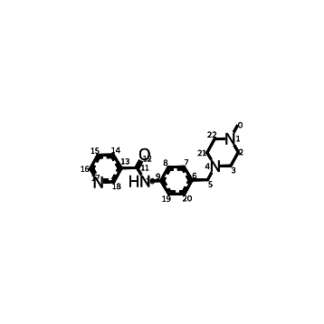 CN1CCN(Cc2ccc(NC(=O)c3cccnc3)cc2)CC1